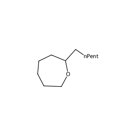 CCCCCCC1CCCCCO1